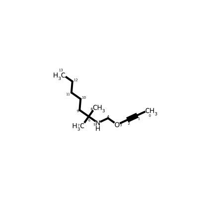 CC#COCNC(C)(C)CCCCC